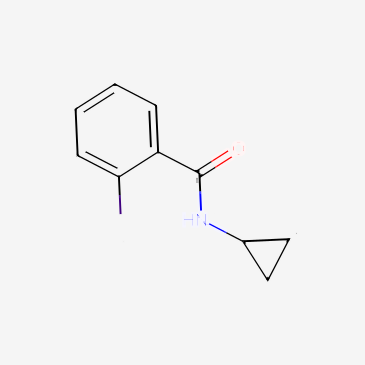 O=C(NC1CC1)c1ccccc1I